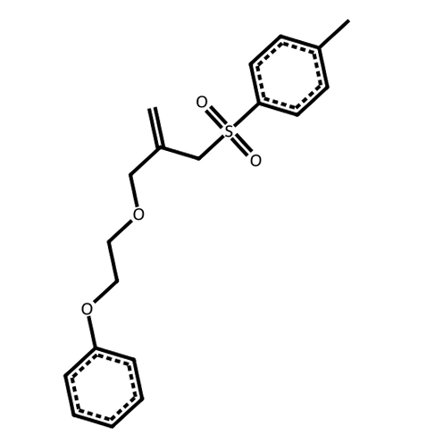 C=C(COCCOc1ccccc1)CS(=O)(=O)c1ccc(C)cc1